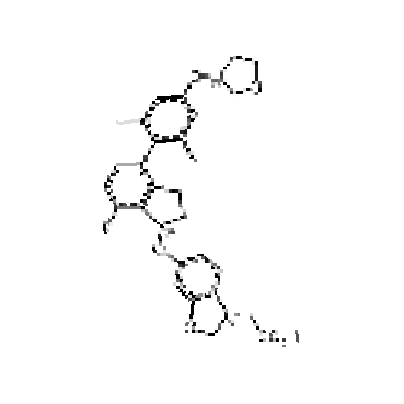 Cc1cc(O[C@H]2CCOC2)cc(C)c1-c1ccc(F)c2c1CC[C@H]2Oc1ccc2c(c1)OC[C@H]2CC(=O)O